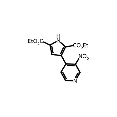 CCOC(=O)c1cc(-c2ccncc2[N+](=O)[O-])c(C(=O)OCC)[nH]1